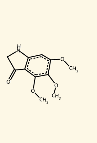 COc1cc2c(c(OC)c1OC)C(=O)CN2